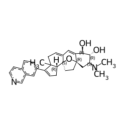 CN(C)[C@H]1C[C@@]23CC[C@@]4(O2)C(=CCC2(C)C(c5ccc6ccncc6c5)=CC[C@H]24)C=C3[C@@H](O)[C@@H]1O